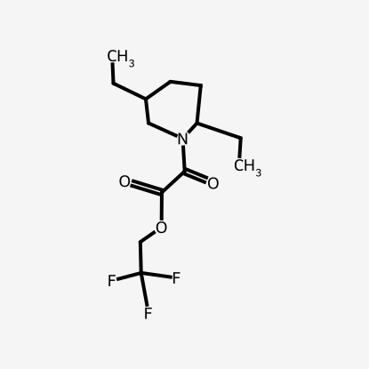 CCC1CCC(CC)N(C(=O)C(=O)OCC(F)(F)F)C1